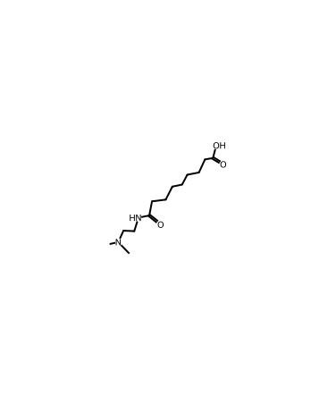 CN(C)CCNC(=O)CCCCCCCC(=O)O